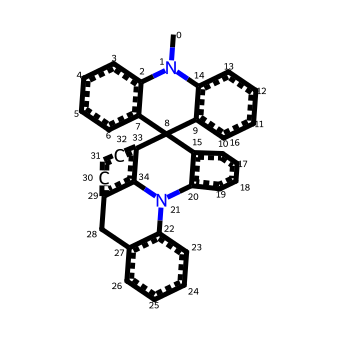 CN1c2ccccc2C2(c3ccccc31)c1ccccc1N1c3ccccc3Cc3cccc2c31